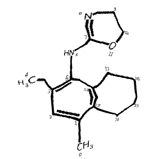 Cc1cc(C)c(NC2=NCCO2)c2c1CCCC2